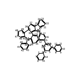 C1=CCC(c2cc(-c3ccccc3)nc(-c3ccc(-n4c5ccccc5c5ccc6c(c54)-c4ccccc4N(c4ccccc4)c4ccccc4-6)cc3)n2)C=C1